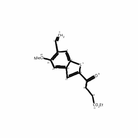 C=Cc1cc2sc(C(=O)CCC(=O)OCC)cc2cc1OC